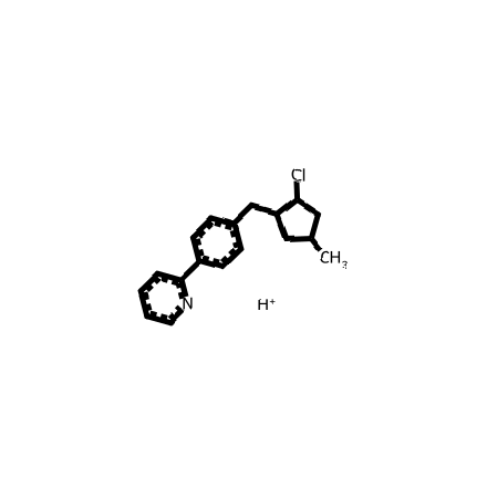 CC1CC(Cl)C(Cc2ccc(-c3ccccn3)cc2)C1.[H+]